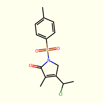 CC1=C(C(C)Cl)CN(S(=O)(=O)c2ccc(C)cc2)C1=O